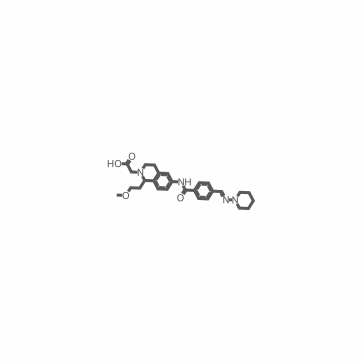 COCCC1c2ccc(NC(=O)c3ccc(C=NN4CCCCC4)cc3)cc2CCN1CC(=O)O